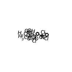 CC(NC(=O)O)C(C)C(=O)NCCN(C(=O)C(Cl)Cl)c1cccc(-c2cc(-c3c(Cl)cccc3Cl)no2)c1